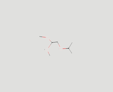 COC(COC(C)C)OC